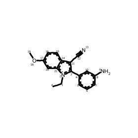 CCn1c(-c2cccc(N)c2)c(C#N)c2ccc(OC)cc21